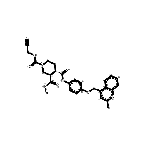 C#CCOC(=O)N1CC[C@H](C(=O)Nc2ccc(OCc3cc(C)nc4ccccc34)cc2)[C@@H](C(=O)NO)C1